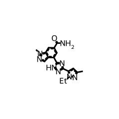 CCn1nc(C)cc1-c1n[nH]c(-c2cc(C(N)=O)cc3c2cnn3C)n1